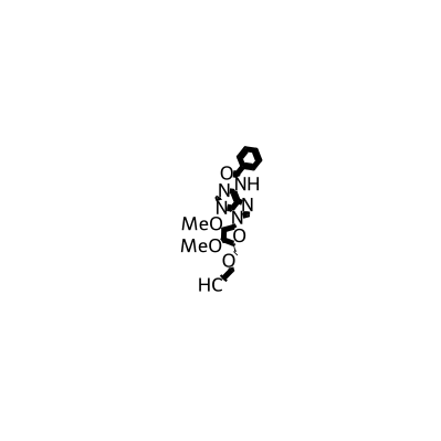 C#CCOC[C@H]1O[C@@H](n2cnc3c(NC(=O)c4ccccc4)ncnc32)[C@@H](OC)C1OC